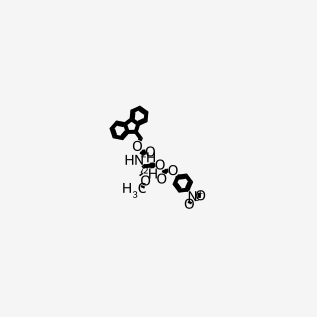 [2H]C([2H])(OC(=O)Oc1ccc([N+](=O)[O-])cc1)[C@H](COC)NC(=O)OCC1c2ccccc2-c2ccccc21